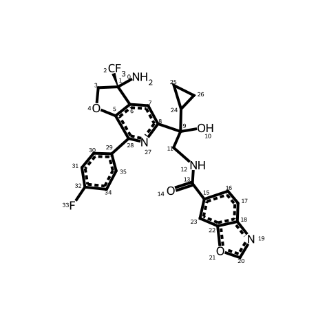 N[C@@]1(C(F)(F)F)COc2c1cc(C(O)(CNC(=O)c1ccc3ncoc3c1)C1CC1)nc2-c1ccc(F)cc1